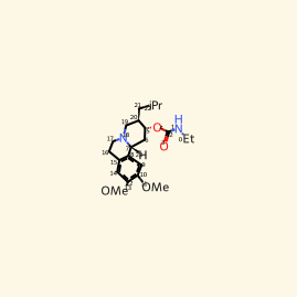 CCNC(=O)O[C@@H]1C[C@@H]2c3cc(OC)c(OC)cc3CCN2C[C@H]1CC(C)C